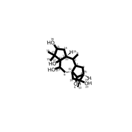 CC1C2C[C@@H]3C(O)[C@@]2(CC(O)C2(O)[C@H]1CC(O)C2(C)C)C[C@@]3(C)O